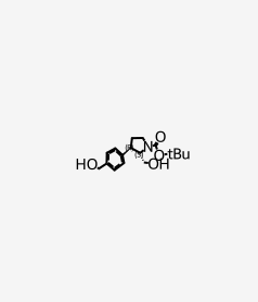 CC(C)(C)OC(=O)N1CC[C@H](c2ccc(CO)cc2)[C@H]1CO